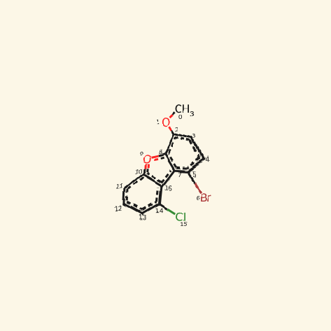 COc1ccc(Br)c2c1oc1cccc(Cl)c12